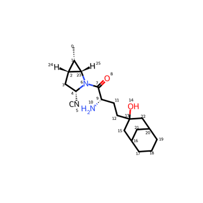 C[C@H]1[C@H]2C[C@@H](C#N)N(C(=O)[C@@H](N)CCC3(O)CC4CCCC(C4)C3)[C@@H]12